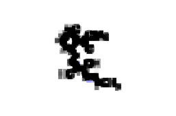 C=C/C=C/C(O)/C(O)=C\Cc1cccc(O)c1C(=O)OC